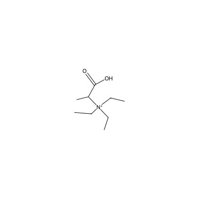 CC[N+](CC)(CC)C(C)C(=O)O